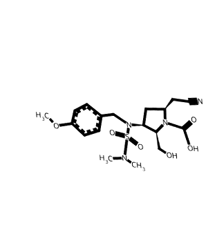 COc1ccc(CN([C@H]2C[C@@H](CC#N)N(C(=O)O)[C@H]2CO)S(=O)(=O)N(C)C)cc1